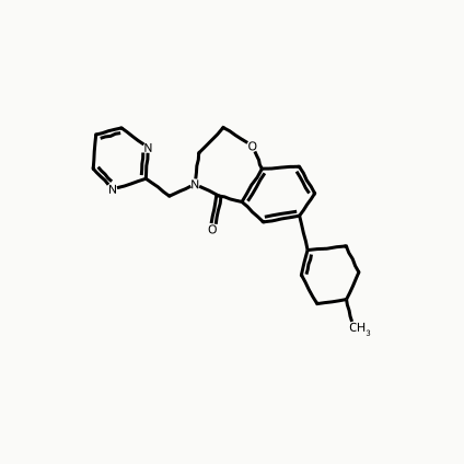 CC1CC=C(c2ccc3c(c2)C(=O)N(Cc2ncccn2)CCO3)CC1